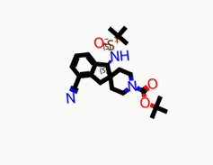 CC(C)(C)OC(=O)N1CCC2(CC1)Cc1c(C#N)cccc1[C@H]2N[S@+]([O-])C(C)(C)C